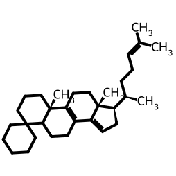 CC(C)=CCC[C@@H](C)[C@H]1CC=C2C3=C(CC[C@@]21C)[C@@]1(C)CCCC2(CCCCC2)C1CC3